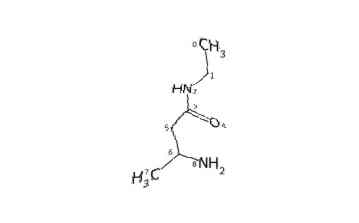 CCNC(=O)CC(C)N